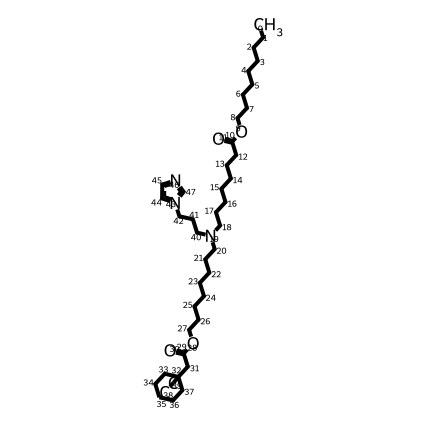 CCCCCCCCCOC(=O)CCCCCCCN(CCCCCCCCOC(=O)CC12CCC(CC1)CC2)CCCn1ccnc1